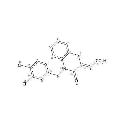 O=C(O)/C=C1\Sc2ccccc2N(Cc2ccc(Cl)c(Cl)c2)C1=O